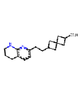 O=C(O)C1CC2(CC(CCc3ccc4c(n3)NCCC4)C2)C1